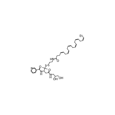 CC/C=C\C/C=C\C/C=C\C/C=C\C/C=C\C/C=C\CCC(=O)NCCSSC(C)(C)C(CC(=O)NCC(O)CO)NC(=O)c1cccnc1